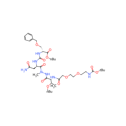 CCCCOC(=O)[C@@H](COCc1ccccc1)NC(=O)N[C@H](CC(N)=O)C(=O)N(C)NC(=O)[C@H](NC(=O)COCCOCCNC(=O)OC(C)(C)C)C(C)OCCCC